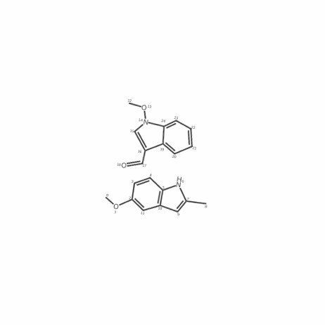 COc1ccc2[nH]c(C)cc2c1.COn1cc(C=O)c2ccccc21